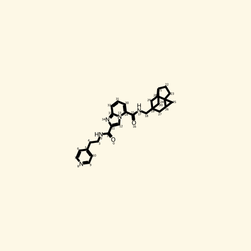 O=C(NCCc1ccncc1)c1cn2c(C(=O)NCC34CC5CCC6(CC6C3)C5C4)cccc2n1